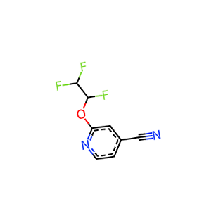 N#Cc1ccnc(OC(F)C(F)F)c1